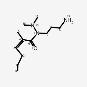 CCCC=C(C)C(=O)N(CCCN)N(C)C